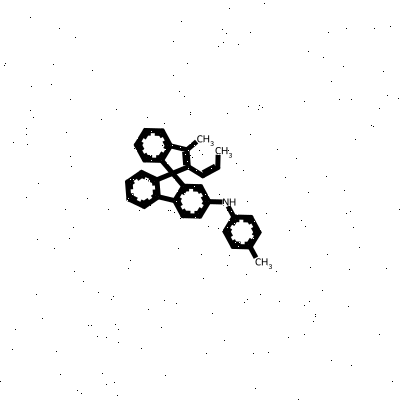 C/C=C\C1=C(C)c2ccccc2C12c1ccccc1-c1ccc(Nc3ccc(C)cc3)cc12